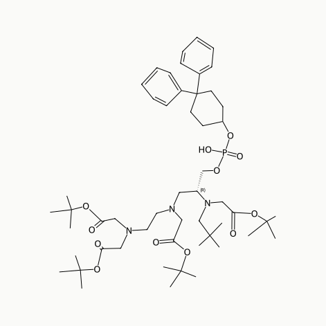 CC(C)(C)CN(CC(=O)OC(C)(C)C)[C@@H](COP(=O)(O)OC1CCC(c2ccccc2)(c2ccccc2)CC1)CN(CCN(CC(=O)OC(C)(C)C)CC(=O)OC(C)(C)C)CC(=O)OC(C)(C)C